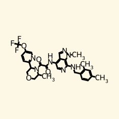 Cc1ccc(CNc2ncc(NC(=O)C(=O)N3C(C)COCC3c3ccc(OC(F)(F)F)cn3)c3cnn(C)c23)c(C)c1